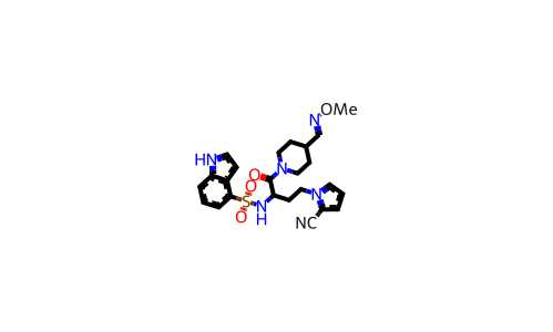 CO/N=C/C1CCN(C(=O)C(CCn2cccc2C#N)NS(=O)(=O)c2cccc3[nH]ccc23)CC1